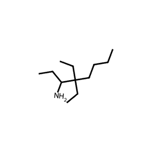 CCCCC(CC)(CC)C(N)CC